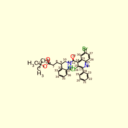 CC(C)(C)OC(=O)CCC(CNC(=O)c1c(Cl)c(-c2ccccc2)nc2ccc(Br)cc12)c1ccccc1Cl